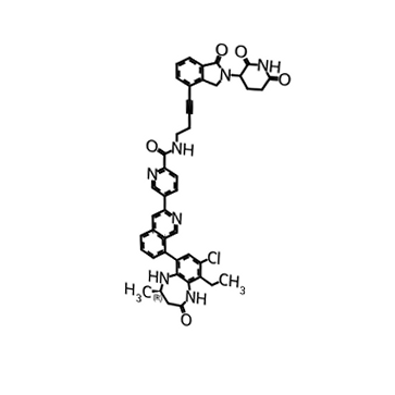 CCc1c(Cl)cc(-c2cccc3cc(-c4ccc(C(=O)NCCC#Cc5cccc6c5CN(C5CCC(=O)NC5=O)C6=O)nc4)ncc23)c2c1NC(=O)C[C@@H](C)N2